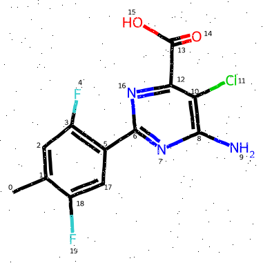 Cc1cc(F)c(-c2nc(N)c(Cl)c(C(=O)O)n2)cc1F